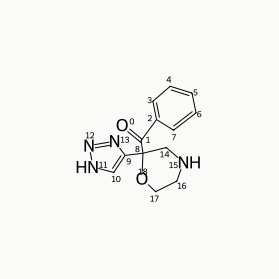 O=C(c1ccccc1)C1(c2c[nH]nn2)CNCCO1